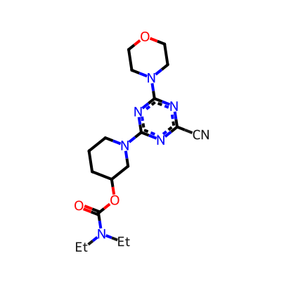 CCN(CC)C(=O)OC1CCCN(c2nc(C#N)nc(N3CCOCC3)n2)C1